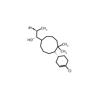 CC(C)[C@@H](C)[C@@H](O)C1CCCC([C@H]2CC=C(Cl)CC2)C(C)(C)CCC1